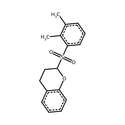 Cc1cccc(S(=O)(=O)C2CCc3ccccc3O2)c1C